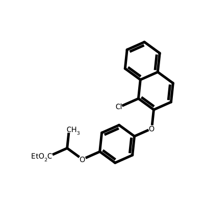 CCOC(=O)C(C)Oc1ccc(Oc2ccc3ccccc3c2Cl)cc1